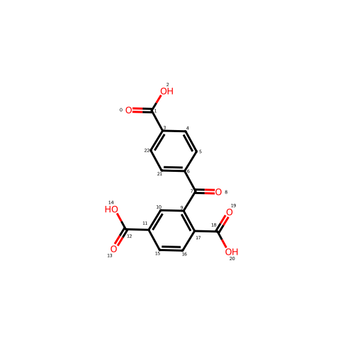 O=C(O)c1ccc(C(=O)c2cc(C(=O)O)ccc2C(=O)O)cc1